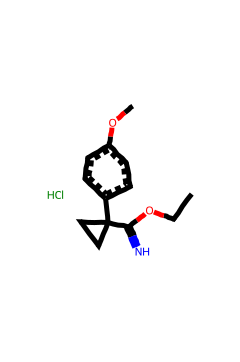 CCOC(=N)C1(c2ccc(OC)cc2)CC1.Cl